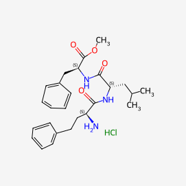 COC(=O)[C@H](Cc1ccccc1)NC(=O)[C@H](CC(C)C)NC(=O)[C@@H](N)CCc1ccccc1.Cl